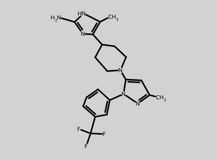 Cc1cc(N2CCC(c3nc(N)[nH]c3C)CC2)n(-c2cccc(C(F)(F)F)c2)n1